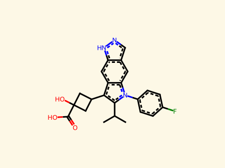 CC(C)c1c(C2CC(O)(C(=O)O)C2)c2cc3[nH]ncc3cc2n1-c1ccc(F)cc1